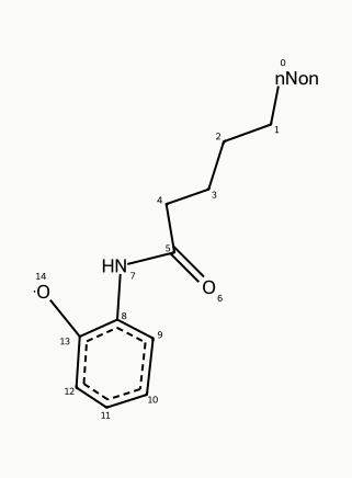 CCCCCCCCCCCCCC(=O)Nc1ccccc1[O]